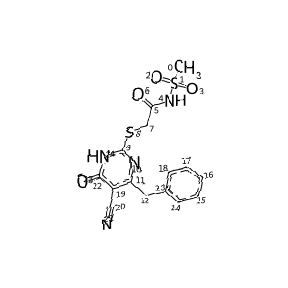 CS(=O)(=O)NC(=O)CSc1nc(Cc2ccccc2)c(C#N)c(=O)[nH]1